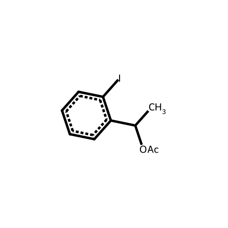 CC(=O)OC(C)c1ccccc1I